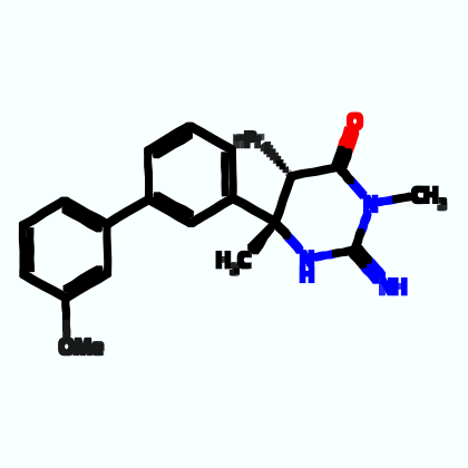 CCC[C@@H]1C(=O)N(C)C(=N)N[C@]1(C)c1cccc(-c2cccc(OC)c2)c1